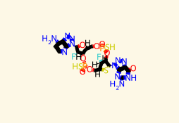 Nc1nc2c(nnn2[C@@H]2S[C@@H]3COP(=O)(S)O[C@H]4[C@H](F)[C@H](n5nnc6c(N)ccnc65)O[C@@H]4COP(=O)(S)O[C@@H]2[C@@H]3F)c(=O)[nH]1